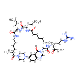 CCCCCCCCCCCCCCCC(=O)N[C@@H](CCS(=O)(=O)O)C(=O)N[C@@H](CCS(=O)(=O)O)C(=O)NCCCC[C@H](C)C(=O)N1CCN(c2ccc3ncn(CC(=O)N[C@@H](CCCNC(=N)N)C(=O)NC)c(=O)c3c2)CC1